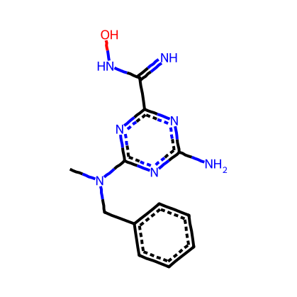 CN(Cc1ccccc1)c1nc(N)nc(C(=N)NO)n1